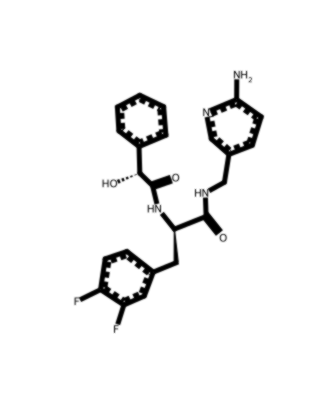 Nc1ccc(CNC(=O)[C@@H](Cc2ccc(F)c(F)c2)NC(=O)[C@H](O)c2ccccc2)cn1